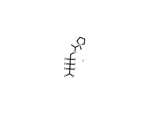 CC(OCC(F)(F)C(F)(F)C(F)(F)C(F)F)[N+]1(C)CCCC1.[I-]